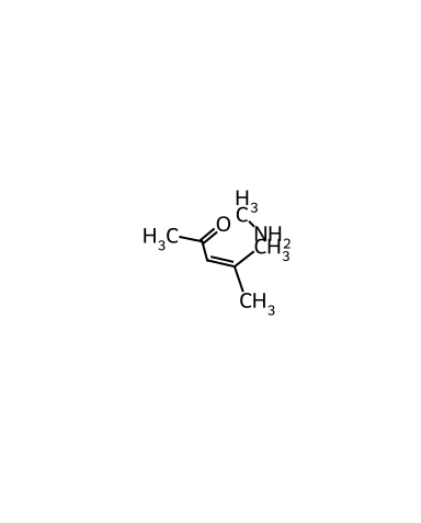 CC(=O)C=C(C)C.CN